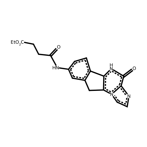 CCOC(=O)CCC(=O)Nc1ccc2c(c1)Cc1c-2[nH]c(=O)c2nccn12